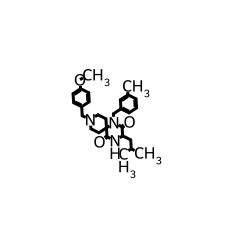 COc1ccc(CN2CCC3(CC2)C(=O)NC(CC(C)C)C(=O)N3Cc2cccc(C)c2)cc1